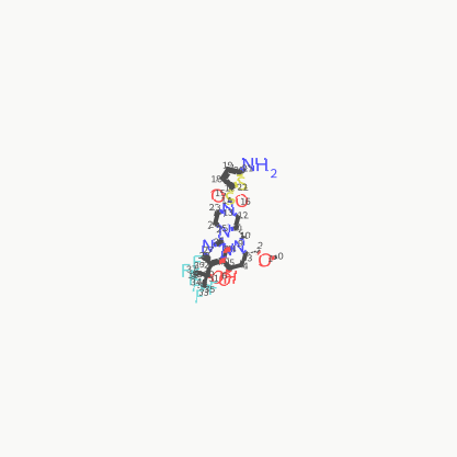 COC[C@@H]1CC(=O)CCN1C[C@H]1CN(S(=O)(=O)c2ccc(N)s2)CCN1c1ncc(C(O)(C(F)(F)F)C(F)(F)F)cn1